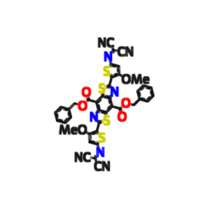 COc1cc(N=C(C#N)C#N)sc1-c1nc2c(C(=O)OCc3ccccc3)c3sc(-c4sc(N=C(C#N)C#N)cc4OC)nc3c(C(=O)OCc3ccccc3)c2s1